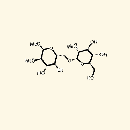 CO[C@H]1O[C@H](CO[C@H]2O[C@H](CO)[C@@H](O)[C@H](O)[C@H]2OC)[C@@H](O)[C@H](O)[C@H]1OC